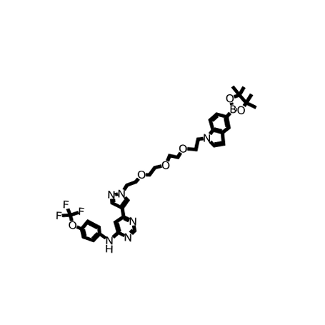 CC1(C)OB(c2ccc3c(ccn3CCOCCOCCOCCn3cc(-c4cc(Nc5ccc(OC(F)(F)F)cc5)ncn4)cn3)c2)OC1(C)C